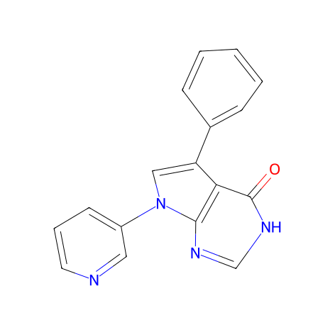 O=c1[nH]cnc2c1c(-c1ccccc1)cn2-c1cccnc1